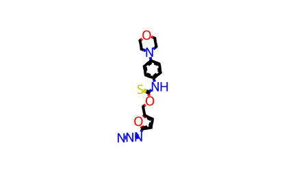 [N-]=[N+]=Nc1ccc(COC(=S)Nc2ccc(N3CCOCC3)cc2)o1